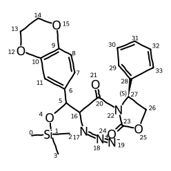 C[Si](C)(C)OC(c1ccc2c(c1)OCCO2)C(N=[N+]=[N-])C(=O)N1C(=O)OC[C@@H]1c1ccccc1